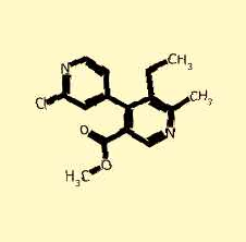 CCc1c(C)ncc(C(=O)OC)c1-c1ccnc(Cl)c1